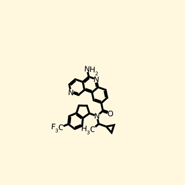 CC(C1CC1)N(C(=O)c1ccc2nc(N)c3ccncc3c2c1)C1CCc2cc(C(F)(F)F)ccc21